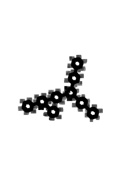 c1ccc(-c2ccc(-c3cc(-c4ccc(-c5ccccc5)cc4)nc(-c4ccc(-c5ccc(-c6ccccc6)nc5-c5ccccc5)cc4)n3)cc2)cc1